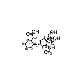 CC(=O)Nc1ccccc1[As](=O)(O)OO.CC1CCCCC1CC(=O)O